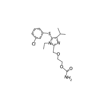 CCn1c(COCCOC(N)=O)nc(C(C)C)c1Sc1cccc(Cl)c1